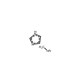 CCCC.c1c[nH]cn1